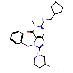 Cn1c(NCC2CCCC2)nc2nc(N3CCCC(N)C3)n(Cc3ccccc3)c2c1=O